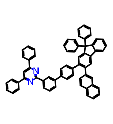 c1ccc(-c2cc(-c3ccccc3)nc(-c3cccc(-c4ccc(-c5cc6c(cc5-c5ccc7ccccc7c5)-c5ccccc5C6(c5ccccc5)c5ccccc5)cc4)c3)n2)cc1